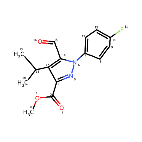 COC(=O)c1nn(-c2ccc(F)cc2)c(C=O)c1C(C)C